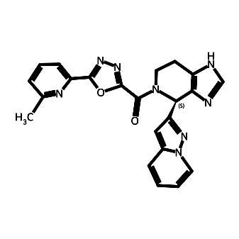 Cc1cccc(-c2nnc(C(=O)N3CCc4[nH]cnc4[C@H]3c3cc4ccccn4n3)o2)n1